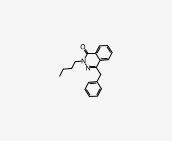 CCCCn1nc(Cc2ccccc2)c2ccccc2c1=O